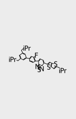 CC(C)Cc1cc(CC(C)C)cc(-c2ccc(-c3ccc(-c4cc5sc(CC(C)C)cc5s4)c4nsnc34)c(F)c2)c1